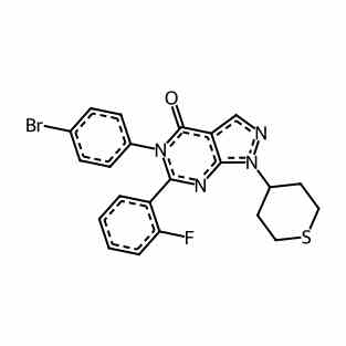 O=c1c2cnn(C3CCSCC3)c2nc(-c2ccccc2F)n1-c1ccc(Br)cc1